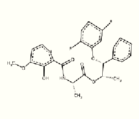 COc1ccnc(C(=O)N[C@@H](C)C(=O)O[C@@H](C)[C@H](Oc2cc(F)ccc2F)c2ccccc2)c1O